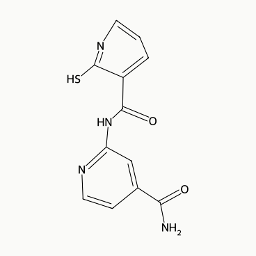 NC(=O)c1ccnc(NC(=O)c2cccnc2S)c1